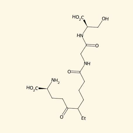 CCC(CCCC(=O)NCC(=O)N[C@H](CO)C(=O)O)C(=O)CC[C@H](N)C(=O)O